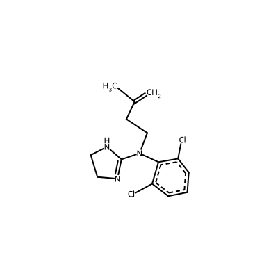 C=C(C)CCN(C1=NCCN1)c1c(Cl)cccc1Cl